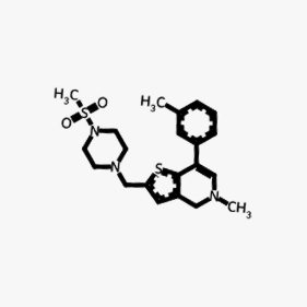 Cc1cccc(C2=CN(C)Cc3cc(CN4CCN(S(C)(=O)=O)CC4)sc32)c1